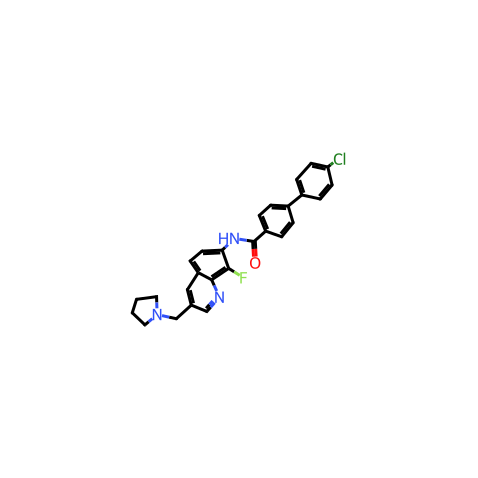 O=C(Nc1ccc2cc(CN3CCCC3)cnc2c1F)c1ccc(-c2ccc(Cl)cc2)cc1